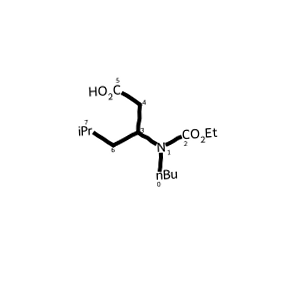 CCCCN(C(=O)OCC)C(CC(=O)O)CC(C)C